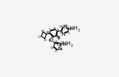 Nc1cnc(-c2ccc(C3CCC3)c(Oc3ccnc(N)c3)c2F)cn1